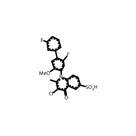 COc1cc(-c2cccc(F)c2)c(F)cc1-n1c(C)c(Cl)c(=O)c2cc(S(=O)(=O)O)ccc21